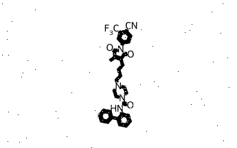 CC1=C(CCCCN2CCN(C(=O)Nc3ccccc3-c3ccccc3)CC2)C(=O)N(c2ccc(C#N)c(C(F)(F)F)c2)C1=O